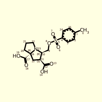 Cc1ccc(S(=O)(=O)OC[C@H]2[C@@H](C(=O)O)C[C@@]3(C(=O)O)CCCN23)cc1